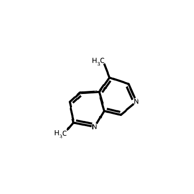 Cc1ccc2c(C)cncc2n1